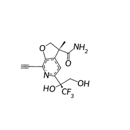 C#Cc1nc([C@@](O)(CO)C(F)(F)F)cc2c1OC[C@]2(C)C(N)=O